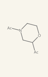 CC(=O)C1CN(C(C)=O)CCO1